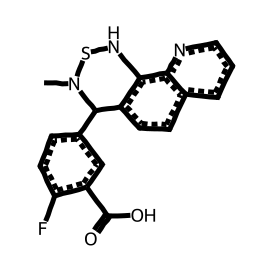 CN1SNc2c(ccc3cccnc23)C1c1ccc(F)c(C(=O)O)c1